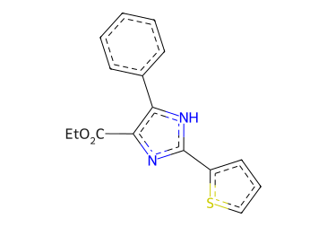 CCOC(=O)c1nc(-c2cccs2)[nH]c1-c1ccccc1